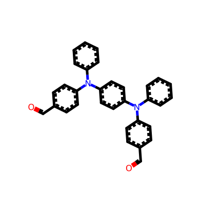 O=Cc1ccc(N(c2ccccc2)c2ccc(N(c3ccccc3)c3ccc(C=O)cc3)cc2)cc1